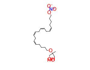 CC(CO)(CO)OCCCC/C=C\C/C=C\C/C=C\C/C=C\CCCCO[N+](=O)[O-]